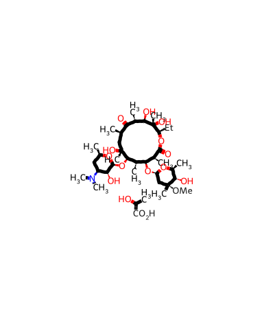 CC(O)C(=O)O.CC[C@H]1OC(=O)[C@H](C)[C@@H](O[C@H]2C[C@@](C)(OC)[C@@H](O)[C@H](C)O2)[C@H](C)[C@@H](O[C@@H]2O[C@H](C)C[C@H](N(C)C)[C@H]2O)[C@](C)(O)C[C@@H](C)C(=O)[C@H](C)[C@@H](O)[C@]1(C)O